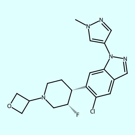 Cn1cc(-n2ncc3cc(Cl)c([C@H]4CCN(C5COC5)C[C@H]4F)cc32)cn1